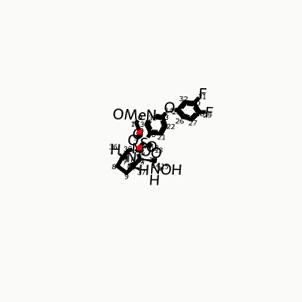 COCCOC(=O)N1[C@@H]2CC[C@H]1[C@H](C(=O)NO)N(S(=O)(=O)c1ccc(Oc3ccc(F)c(F)c3)nc1)C2